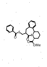 COC(=O)[C@@H]1CCCC2c3ccccc3CC(CSC(=O)c3ccccc3)C(=O)N21